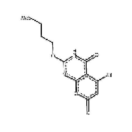 CCc1cc(=O)oc2nc(OCCCSC)[nH]c(=O)c12